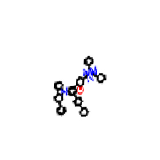 c1ccc(-c2ccc(-c3cc(-n4c5ccccc5c5ccc(-c6ccccc6)cc54)cc4c3oc3cc(-c5nc(-c6ccccc6)nc(-c6ccccc6)n5)ccc34)cc2)cc1